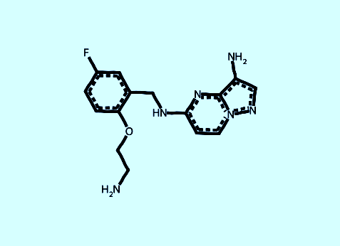 NCCOc1ccc(F)cc1CNc1ccn2ncc(N)c2n1